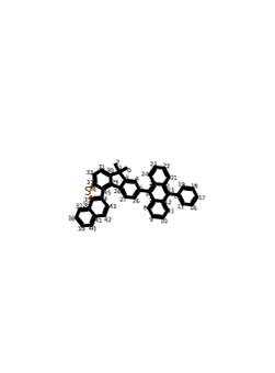 CC1(C)c2cc(-c3c4ccccc4c(-c4ccccc4)c4ccccc34)ccc2-c2c1ccc1sc3c4ccccc4ccc3c21